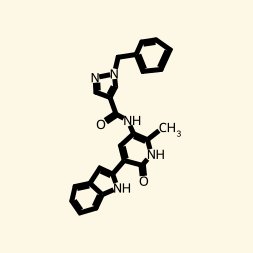 Cc1[nH]c(=O)c(-c2cc3ccccc3[nH]2)cc1NC(=O)c1cnn(Cc2ccccc2)c1